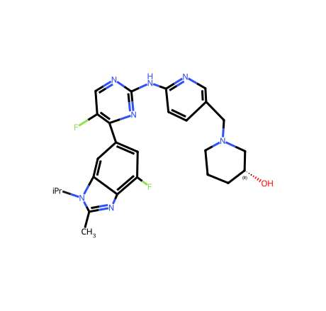 Cc1nc2c(F)cc(-c3nc(Nc4ccc(CN5CCC[C@@H](O)C5)cn4)ncc3F)cc2n1C(C)C